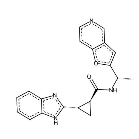 C[C@H](NC(=O)[C@H]1C[C@@H]1c1nc2ccccc2[nH]1)c1cc2cnccc2o1